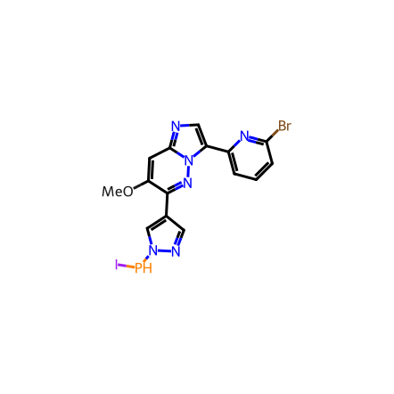 COc1cc2ncc(-c3cccc(Br)n3)n2nc1-c1cnn(PI)c1